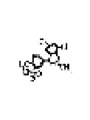 Cc1ccc(C2CN(C)Cc3c(Cl)cc(Cl)cc32)cc1S(=O)(=O)Cl